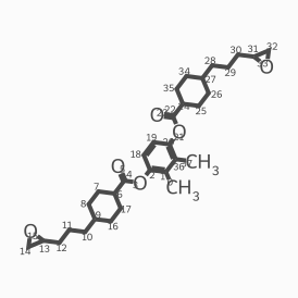 Cc1c(OC(=O)C2CCC(CCCC3CO3)CC2)ccc(OC(=O)C2CCC(CCCC3CO3)CC2)c1C